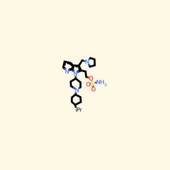 CC(C)C1CCC(N2CCC(n3c(CCOS(N)(=O)=O)c(CN4CCCC4)c4cccnc43)CC2)CC1